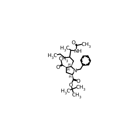 CCCC(C[C@@H]1[C@H](C(C)=O)C[C@H](C(=O)OC(C)(C)C)N1Cc1ccccc1)C(C)NC(C)=O